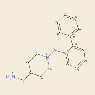 NCC1CCN(Cc2ccccc2-c2ccccc2)CC1